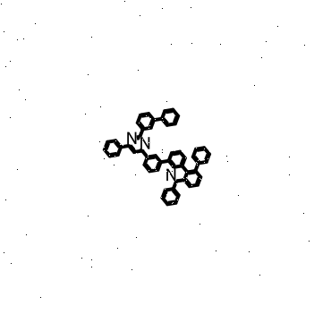 c1ccc(-c2cccc(-c3nc(-c4ccccc4)cc(-c4cccc(-c5cccc6c5nc(-c5ccccc5)c5cccc(-c7ccccc7)c56)c4)n3)c2)cc1